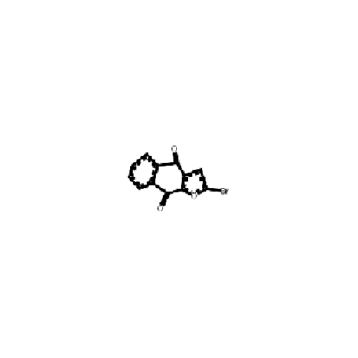 O=C1c2ccccc2C(=O)c2oc(Br)cc21